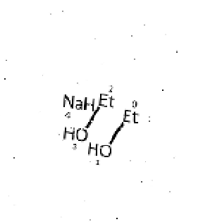 CCO.CCO.[NaH]